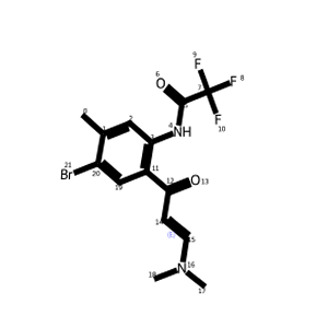 Cc1cc(NC(=O)C(F)(F)F)c(C(=O)/C=C/N(C)C)cc1Br